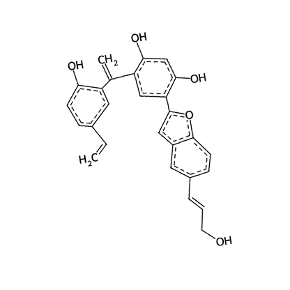 C=Cc1ccc(O)c(C(=C)c2cc(-c3cc4cc(/C=C/CO)ccc4o3)c(O)cc2O)c1